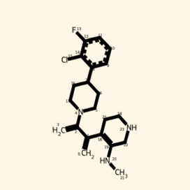 C=C(C(=C)N1CCC(c2cccc(F)c2Cl)CC1)C1=C(NC)CNCC1